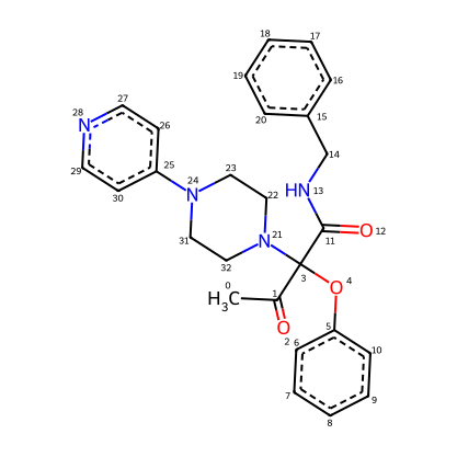 CC(=O)C(Oc1ccccc1)(C(=O)NCc1ccccc1)N1CCN(c2ccncc2)CC1